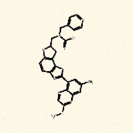 COc1cnc2c(-c3nc4ccc5c(c4s3)CC(CN(Cc3ccncc3)C(=O)O)O5)cc(C)cc2n1